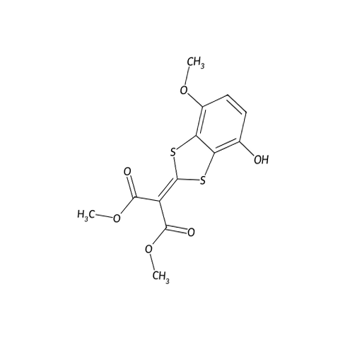 COC(=O)C(C(=O)OC)=C1Sc2c(O)ccc(OC)c2S1